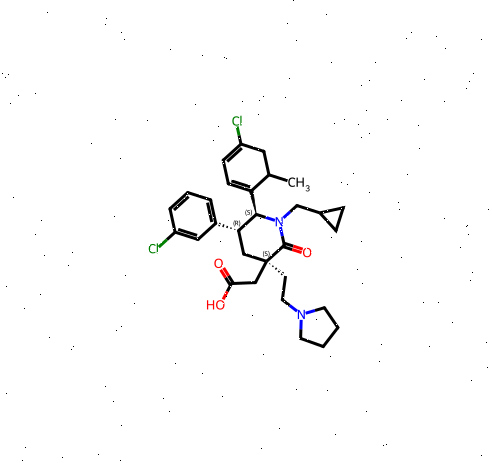 CC1CC(Cl)=CC=C1[C@@H]1[C@@H](c2cccc(Cl)c2)C[C@](CCN2CCCC2)(CC(=O)O)C(=O)N1CC1CC1